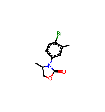 Cc1cc(N2C(=O)OCC2C)ccc1Br